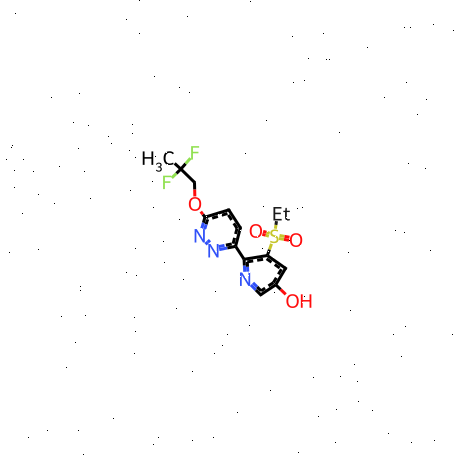 CCS(=O)(=O)c1cc(O)cnc1-c1ccc(OCC(C)(F)F)nn1